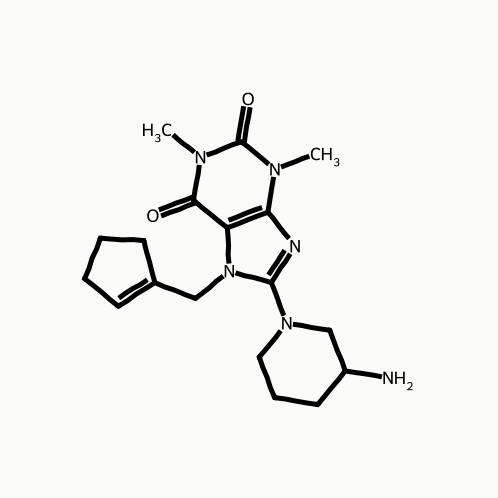 Cn1c(=O)c2c(nc(N3CCCC(N)C3)n2CC2=CCCC2)n(C)c1=O